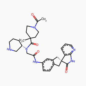 CC(=O)N1CCC(C)(C(=O)N(CC(=O)Nc2ccc3c(c2)C[C@@]2(C3)C(=O)Nc3ncccc32)[C@H]2CCCNC2)CC1